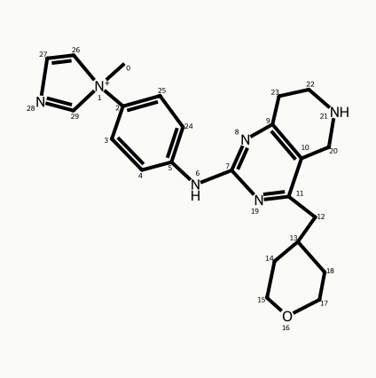 C[N+]1(c2ccc(Nc3nc4c(c(CC5CCOCC5)n3)CNCC4)cc2)C=CN=C1